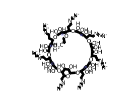 C=CCO/C1=C(/O)C(O)OC(CCN=[N+]=[N-])/C(O)=C(\O)C(O)OC(CCN=[N+]=[N-])/C(O)=C(/O)C(O)OC2C(CN=[N+]=[N-])OC(OC(CCN=[N+]=[N-])/C(O)=C(/O)C(O)OC(CCN=[N+]=[N-])C(O)C(O)C(O)OC(CCN=[N+]=[N-])/C(O)=C(/O)C(O)OC1CCN=[N+]=[N-])C(O)C2O